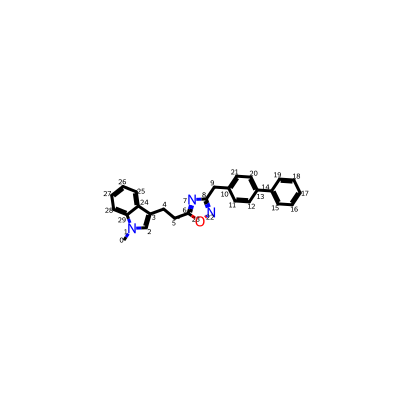 Cn1cc(C[CH]c2nc(Cc3ccc(-c4ccccc4)cc3)no2)c2ccccc21